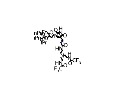 CCCOP(OC1CC(n2cc(/C=C/C(=O)NCCN(CCNC(=O)C(F)(F)F)CCNC(=O)C(F)(F)F)c(=O)[nH]c2=O)OC1CC)N(C(C)C)C(C)C